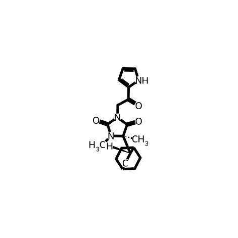 CN1C(=O)N(CC(=O)c2ccc[nH]2)C(=O)[C@@]1(C)[C@H]1CC2CCC1CC2